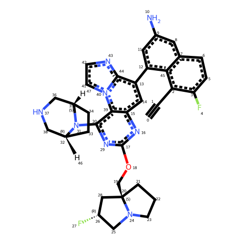 C#Cc1c(F)ccc2cc(N)cc(-c3cc4nc(OC[C@@]56CCCN5C[C@H](F)C6)nc(N5[C@@H]6CC[C@H]5CNC6)c4n4ccnc34)c12